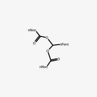 CCCCCCCCCC(=O)OC(CCCCC)OC(=O)CCCCCCCCC